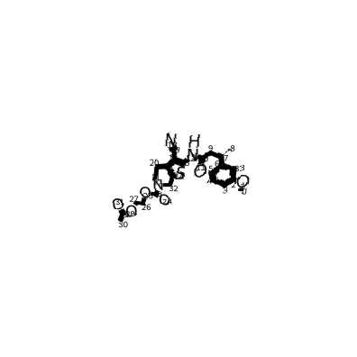 COc1cccc([C@@H](C)CC(=O)Nc2sc3c(c2C#N)CCN(C(=O)OCCOC(C)=O)C3)c1